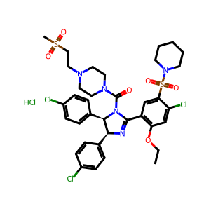 CCOc1cc(Cl)c(S(=O)(=O)N2CCCCC2)cc1C1=N[C@@H](c2ccc(Cl)cc2)[C@@H](c2ccc(Cl)cc2)N1C(=O)N1CCN(CCS(C)(=O)=O)CC1.Cl